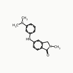 CN1Cc2cc(Nc3cccc(N(C)C)c3)ccc2C1=O